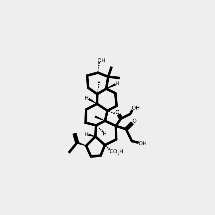 C=C(C)[C@@H]1CC[C@]2(C(=O)O)CC(C(=O)CO)(C(=O)CO)[C@]3(C)[C@H](CC[C@@H]4[C@@]5(C)CC[C@H](O)C(C)(C)[C@@H]5CC[C@]43C)[C@@H]12